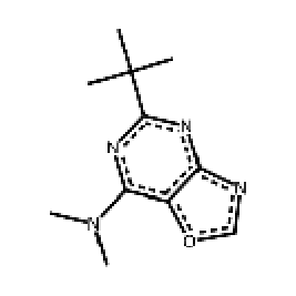 CN(C)c1nc(C(C)(C)C)nc2ncoc12